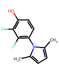 Cc1ccc(C)n1-c1ccc(O)c(F)c1F